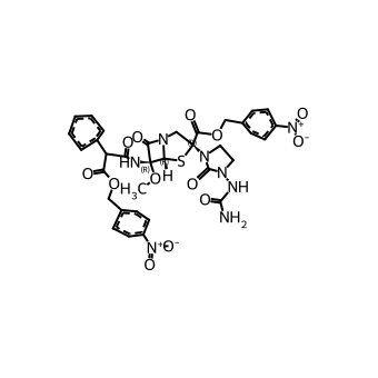 CO[C@]1(NC(=O)C(C(=O)OCc2ccc([N+](=O)[O-])cc2)c2ccccc2)C(=O)N2C[C@@](C(=O)OCc3ccc([N+](=O)[O-])cc3)(N3CCN(NC(N)=O)C3=O)S[C@@H]21